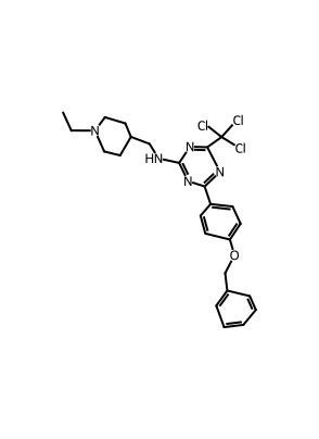 CCN1CCC(CNc2nc(-c3ccc(OCc4ccccc4)cc3)nc(C(Cl)(Cl)Cl)n2)CC1